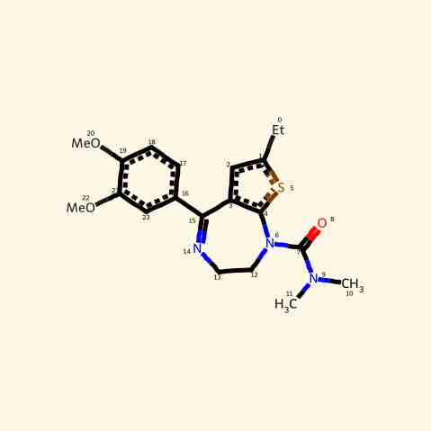 CCc1cc2c(s1)N(C(=O)N(C)C)CCN=C2c1ccc(OC)c(OC)c1